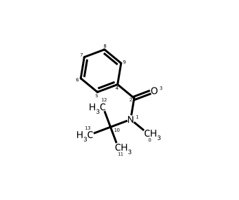 CN(C(=O)c1ccccc1)C(C)(C)C